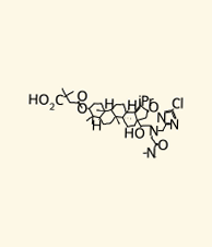 CC(C)C1=C2[C@H]3CC[C@@H]4[C@@]5(C)CC[C@H](OC(=O)CC(C)(C)C(=O)O)C(C)(C)[C@@H]5CC[C@@]4(C)[C@]3(C)CCC2(C(O)CN(CC(=O)N(C)C)Cc2ncc(Cl)cn2)CC1=O